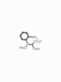 COC(C(=O)O)N(OC)c1ccccc1[N+](=O)[O-]